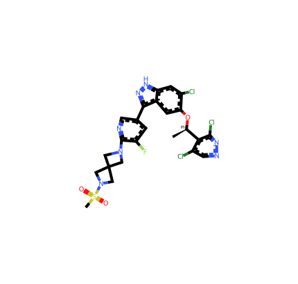 C[C@@H](Oc1cc2c(-c3cnc(N4CC5(C4)CN(S(C)(=O)=O)C5)c(F)c3)n[nH]c2cc1Cl)c1c(Cl)cnnc1Cl